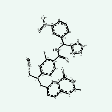 C#CCN(Cc1ccc2nc(C)[nH]c(=O)c2c1)c1ccc(C(=O)NC(c2cccc([N+](=O)[O-])c2)c2nnn[nH]2)c(F)c1